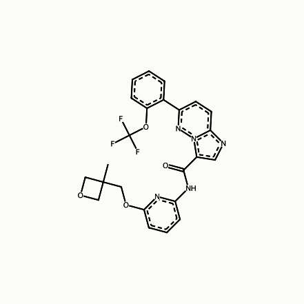 CC1(COc2cccc(NC(=O)c3cnc4ccc(-c5ccccc5OC(F)(F)F)nn34)n2)COC1